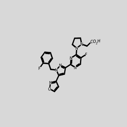 O=C(O)CN1CCCN1c1nc(-c2cc(-c3ccon3)n(Cc3ccccc3F)n2)ncc1F